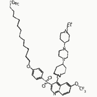 CCCCCCCCCCCCCCCCCCCCCCOc1ccc(S(=O)(=O)c2cnc3ccc(OC(F)(F)F)cc3c2N2CCC(N3CCN(C4CCN(CC)CC4)CC3)CC2)cc1